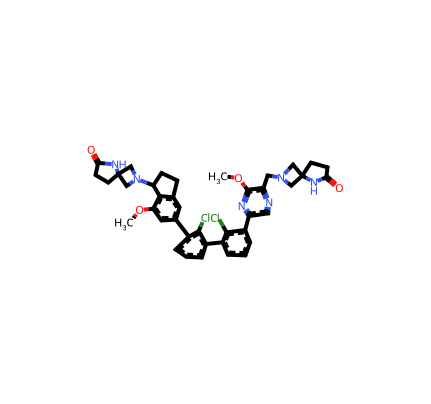 COc1cc(-c2cccc(-c3cccc(-c4cnc(CN5CC6(CCC(=O)N6)C5)c(OC)n4)c3Cl)c2Cl)cc2c1C(N1CC3(CCC(=O)N3)C1)CC2